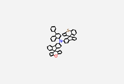 c1ccc(-c2ccc(N(c3ccc4c(c3)-c3ccccc3C43c4ccccc4Oc4ccccc43)c3ccc4c(c3)C3(c5ccccc5Sc5ccccc53)c3ccccc3-4)c3ccccc23)cc1